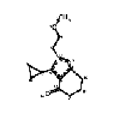 COCCn1nc2c(c1C1CC1)C(=O)CCC2